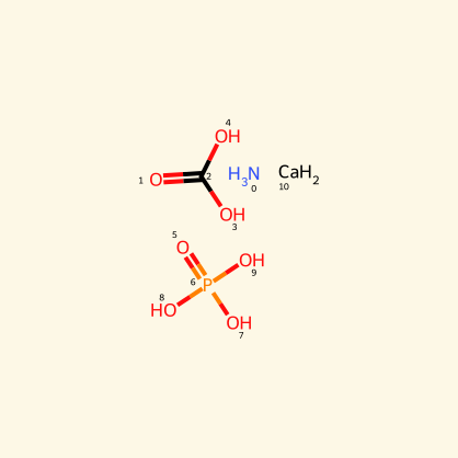 N.O=C(O)O.O=P(O)(O)O.[CaH2]